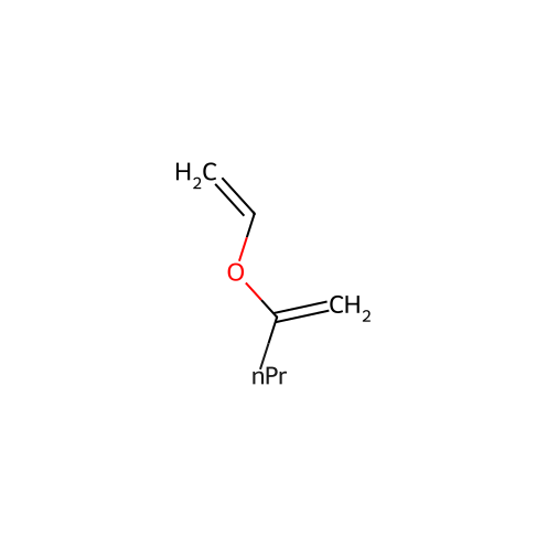 C=COC(=C)CCC